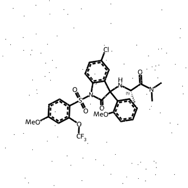 COc1ccc(S(=O)(=O)N2C(=O)C(N[C@@H](C)C(=O)N(C)C)(c3ccccc3OC)c3cc(Cl)ccc32)c(OC(F)(F)F)c1